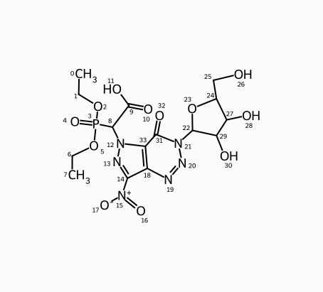 CCOP(=O)(OCC)C(C(=O)O)n1nc([N+](=O)[O-])c2nnn(C3OC(CO)C(O)C3O)c(=O)c21